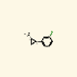 C[C@H]1C[C@@H]1c1cccc(F)c1